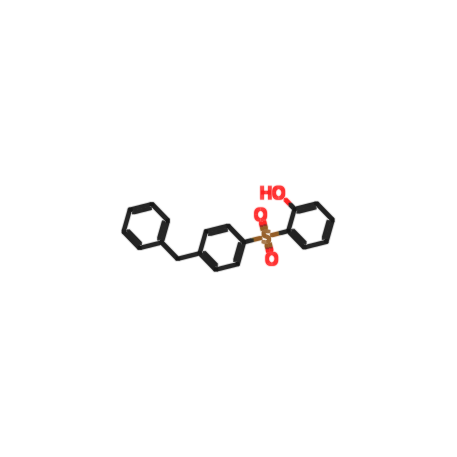 O=S(=O)(c1ccc(Cc2ccccc2)cc1)c1ccccc1O